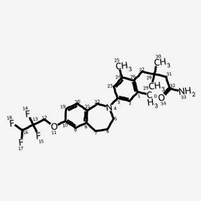 Cc1cc(N2CCCc3cc(OCC(F)(F)C(F)F)ccc3C2)cc(C)c1CC(C)(C)CC(N)=O